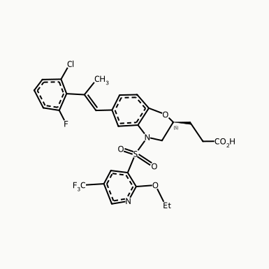 CCOc1ncc(C(F)(F)F)cc1S(=O)(=O)N1C[C@H](CCC(=O)O)Oc2ccc(C=C(C)c3c(F)cccc3Cl)cc21